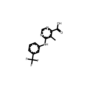 Cc1c(Nc2cccc(C(F)(F)F)c2)ncnc1C(=O)O